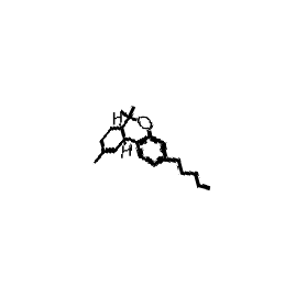 CCCCCc1ccc2c(c1)OC(C)(C)[C@@H]1CCC(C)=C[C@@H]21